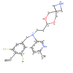 COc1c(F)cc(CN(CCC2OCC3(CNC3)CO2)c2ccc(C#N)nc2)cc1F